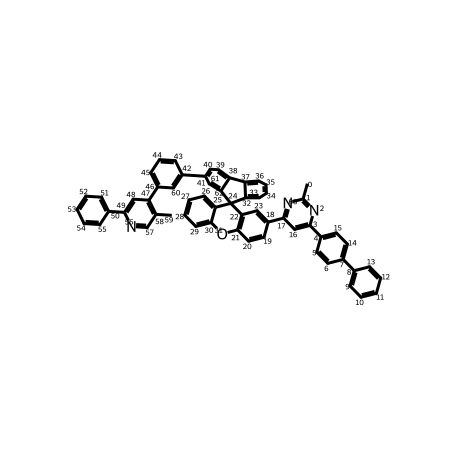 Cc1nc(-c2ccc(-c3ccccc3)cc2)cc(-c2ccc3c(c2)C2(c4ccccc4O3)c3ccccc3-c3ccc(-c4cccc(-c5cc(-c6ccccc6)ncc5C)c4)cc32)n1